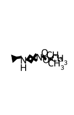 CC(C)(C)OC(=O)N1CC2(CC(NCC3CC3)C2)C1